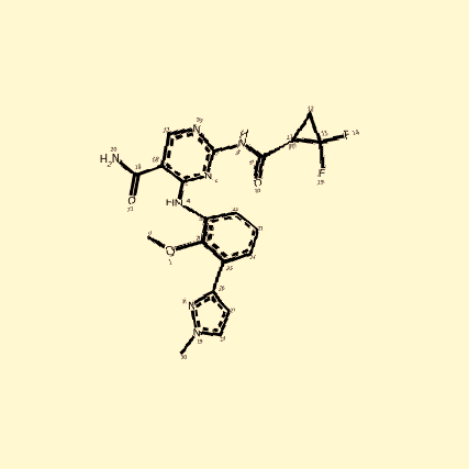 COc1c(Nc2nc(NC(=O)[C@H]3CC3(F)F)ncc2C(N)=O)cccc1-c1ccn(C)n1